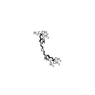 CC(C)(C)Cc1cn(CCOCCn2cc(CC(C)(C)C)nn2)nn1